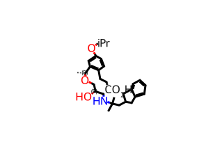 CC(C)Oc1ccc(CCC(=O)O)c([C@@H](C)OC[C@H](O)CNC(C)(C)CC2Cc3ccccc3C2)c1